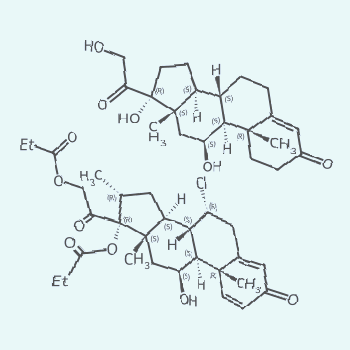 CCC(=O)OCC(=O)[C@@]1(OC(=O)CC)[C@H](C)C[C@H]2[C@H]3[C@H]([C@@H](O)C[C@@]21C)[C@@]1(C)C=CC(=O)C=C1C[C@H]3Cl.C[C@]12CCC(=O)C=C1CC[C@@H]1[C@@H]2[C@@H](O)C[C@@]2(C)[C@H]1CC[C@]2(O)C(=O)CO